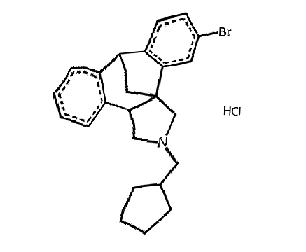 Brc1ccc2c(c1)C13CC2c2ccccc2C1CN(CC1CCCC1)C3.Cl